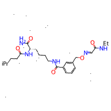 CCNC(=O)/C=N/OCc1cccc(C(=O)NCCCC[C@H](NC(=O)CCC(C)C)C(N)=O)c1